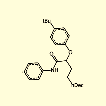 CCCCCCCCCCCCC(Oc1ccc(C(C)(C)C)cc1)C(=O)Nc1cc[c]cc1